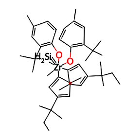 CCC(C)(C)C1=CC(C)[C]([Zr]([CH3])([CH3])(=[SiH2])([O]c2ccc(C)cc2C(C)(C)C)([O]c2ccc(C)cc2C(C)(C)C)[C]2=CC(C(C)(C)CC)=CC2C)=C1